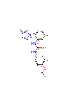 CCOc1ccc(NC(=O)Nc2ccccc2-n2ccnc2)cc1